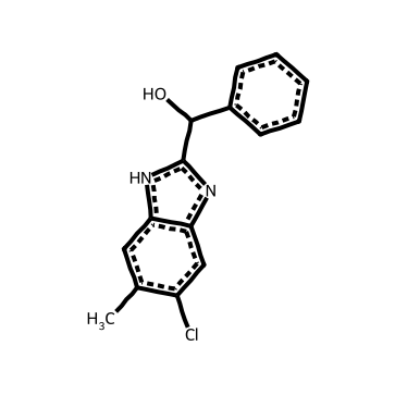 Cc1cc2[nH]c(C(O)c3ccccc3)nc2cc1Cl